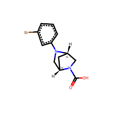 O=C(O)N1C[C@@H]2C[C@H]1CN2c1cccc(Br)c1